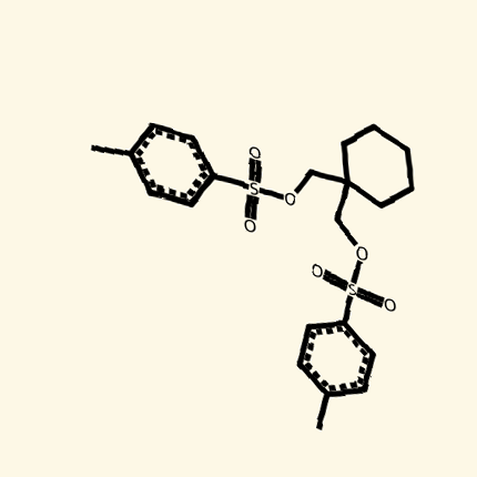 Cc1ccc(S(=O)(=O)OCC2(COS(=O)(=O)c3ccc(C)cc3)CCCCC2)cc1